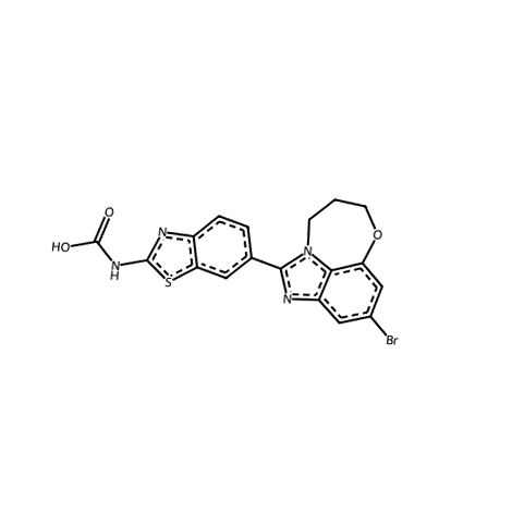 O=C(O)Nc1nc2ccc(-c3nc4cc(Br)cc5c4n3CCCO5)cc2s1